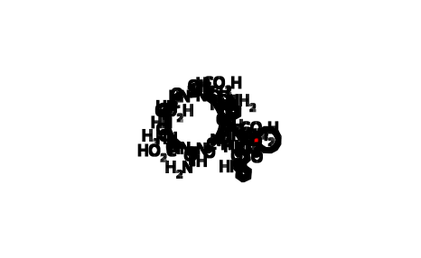 C[C@H](CC(=O)O)[C@@H]1NC(=O)[C@@H](CO)NC(=O)CNC(=O)[C@H](CC(=O)O)NC(=O)[C@@H](C)NC(=O)[C@H](CC(=O)O)NC(=O)[C@H](CCCN)NC(=O)CNC(=O)[C@@H](NC(=O)[C@H](CC(=O)O)NC(=O)[C@@H](CC(N)=O)NC(=O)C(Cc2c[nH]c3ccccc23)NC(=O)C2CCCCCCCCCCC2)[C@@H](C)OC(=O)[C@H](C(=O)c2ccccc2N)NC1=O